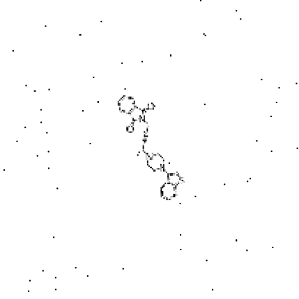 O=C1c2ccccc2C(=O)N1CC#CCN1CCN(c2csc3ccccc23)CC1